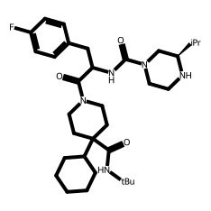 CC(C)[C@@H]1CN(C(=O)NC(Cc2ccc(F)cc2)C(=O)N2CCC(C(=O)NC(C)(C)C)(C3CCCCC3)CC2)CCN1